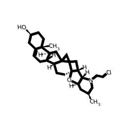 C[C@H]1C[C@H]2O[C@@]34CC[C@H]5[C@@H]6CC=C7C[C@@H](O)CC[C@]7(C)[C@H]6CC56CC63C[C@@H]4[C@@H]2N(CCCl)C1